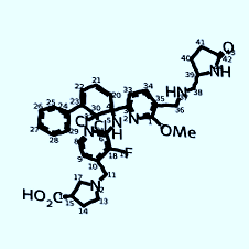 COc1nc(C2(Nc3nccc(CN4CCC(C(=O)O)C4)c3F)C=CC=C(c3ccccc3)C2(Cl)Cl)ccc1CNCC1CCC(=O)N1